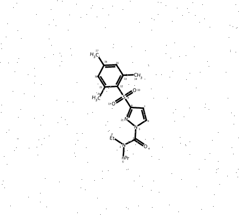 CCCN(CC)C(=O)n1ccc(S(=O)(=O)c2c(C)cc(C)cc2C)n1